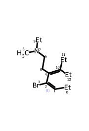 CC/C=C(/Br)C(CCN(C)CC)=C(CC)CC